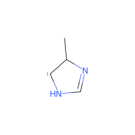 CC1[C]NC=N1